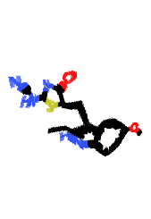 COc1ccc2[nH]c(C)c(C=C3SC(NC#N)=NC3=O)c2c1